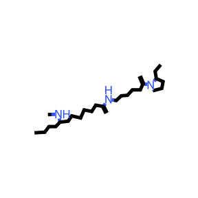 C=C(CCCCCCC(CCCC)NC)NCCCCCC(=C)N1CCCC1CC